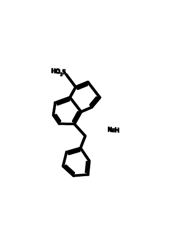 O=S(=O)(O)c1cccc2c(Cc3ccccc3)cccc12.[NaH]